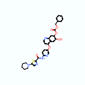 O=C(OCc1ccccc1)Oc1cc2nccc(Oc3ccc(NC(=O)c4ncc(N5CCCCC5)s4)nc3)c2cc1O